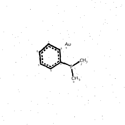 CP(C)c1ccccc1.[Au]